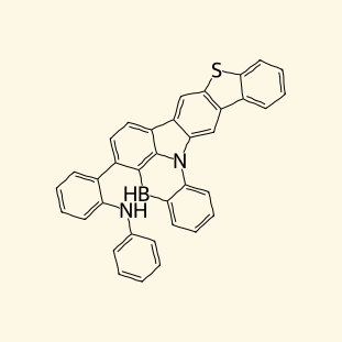 B1c2ccccc2-n2c3cc4c(cc3c3ccc(-c5ccccc5Nc5ccccc5)c1c32)sc1ccccc14